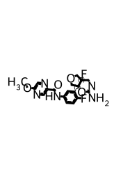 COc1cnc(C(=O)Nc2ccc(F)c([C@]34COC[C@]3(F)CN=C(N)O4)c2)cn1